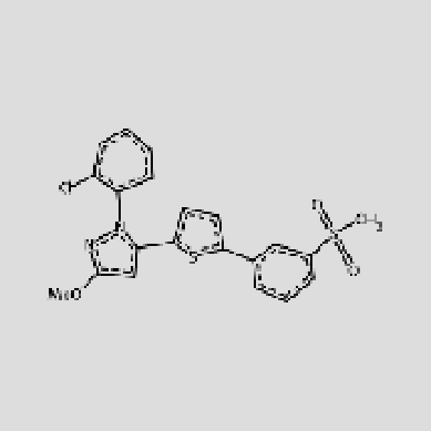 COc1cc(-c2ccc(-c3cccc(S(C)(=O)=O)c3)s2)n(-c2ccccc2Cl)n1